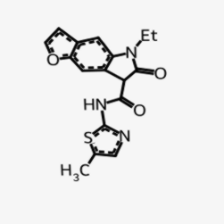 CCN1C(=O)C(C(=O)Nc2ncc(C)s2)c2cc3occc3cc21